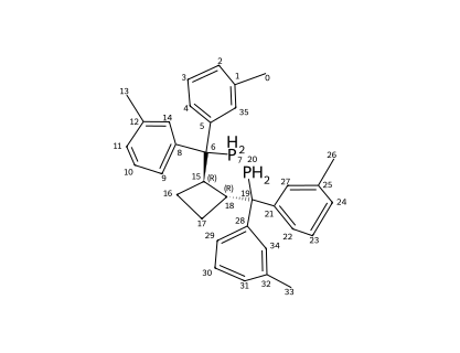 Cc1cccc(C(P)(c2cccc(C)c2)[C@@H]2CC[C@H]2C(P)(c2cccc(C)c2)c2cccc(C)c2)c1